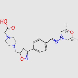 C[C@@H]1CN(N=Cc2ccc(C3=NOC(CN4CCN(CC(=O)O)CC4)C3)cc2)C[C@H](C)O1